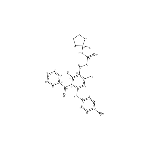 Cc1cc(Sc2ccc(C(C)(C)C)cc2)c(C(=O)c2ccccc2)c(C)c1OCC(=O)OC1(C)CCCC1